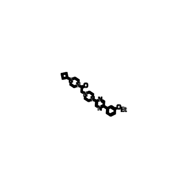 CCOc1cccc(-c2cnc(N3CCN(CC(=O)N4CCN(C5CCC5)CC4)CC3)cn2)c1